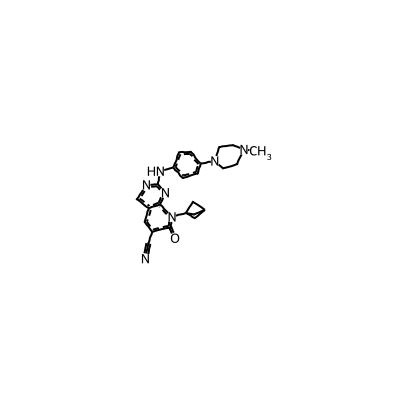 CN1CCN(c2ccc(Nc3ncc4cc(C#N)c(=O)n(C56CC(C5)C6)c4n3)cc2)CC1